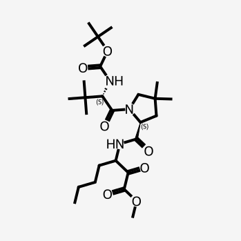 CCCCC(NC(=O)[C@@H]1CC(C)(C)CN1C(=O)[C@@H](NC(=O)OC(C)(C)C)C(C)(C)C)C(=O)C(=O)OC